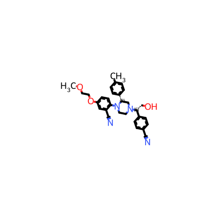 COCCOc1ccc(N2CCN([C@H](CO)c3ccc(C#N)cc3)C[C@H]2c2ccc(C)cc2)c(C#N)c1